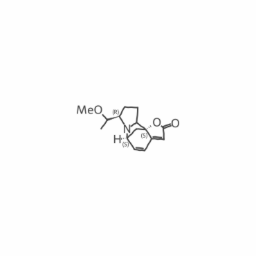 COC(C)[C@H]1CCC2N1[C@@H]1C=CC3=CC(=O)O[C@@]32C1